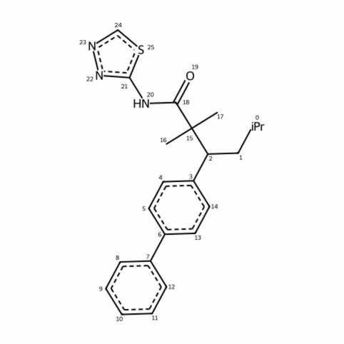 CC(C)CC(c1ccc(-c2ccccc2)cc1)C(C)(C)C(=O)Nc1nncs1